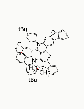 CC(C)(C)c1ccc(N2B3c4cc5occc5cc4N(c4ccc(C(C)(C)C)cc4-c4ccccc4)c4c3c(cc3c4C(C)(C)c4ccccc4-3)-c3cc4c(cc32)oc2ccccc24)cc1